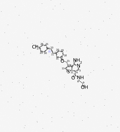 Nc1ncc(C(=O)NCCO)c2scc(COc3cccc(/C=C/c4ccc(Cl)cc4)c3)c12